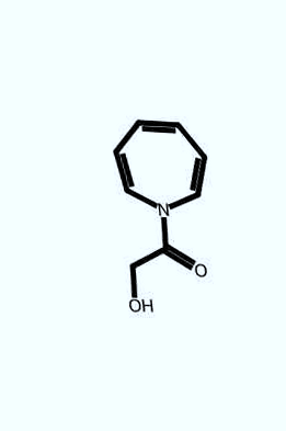 O=C(CO)N1C=CC=CC=C1